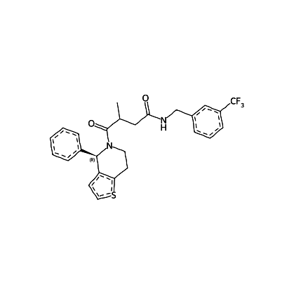 CC(CC(=O)NCc1cccc(C(F)(F)F)c1)C(=O)N1CCc2sccc2[C@H]1c1ccccc1